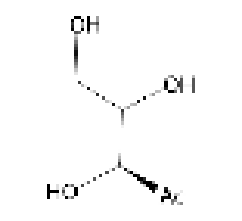 CC(=O)[C@@H](O)C(O)CO